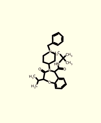 CC(C)C1Oc2ccccc2C(C(=O)NC(C)(C)C)N(C2CCN(Cc3ccccc3)CC2)C1=O